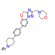 CC(C)N1CCC(c2ccc(-c3ccc4c(c3)OCc3nc(CN5CCOCC5)nn3-4)cc2)CC1